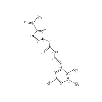 C[N+](=O)c1ncn(CC(=O)N/N=C/c2cc(Cl)cc([N+](=O)[O-])c2O)n1